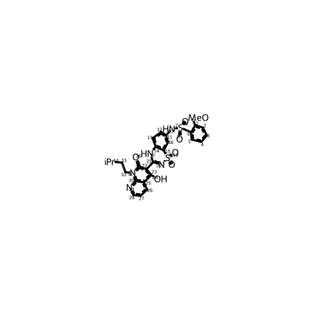 COc1ccccc1S(=O)(=O)Nc1ccc2c(c1)S(=O)(=O)N=C(c1c(O)c3cccnc3n(CCC(C)C)c1=O)N2